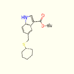 CC(C)(C)OC(=O)c1c[nH]c2ccc(CSC3CCCCC3)cc12